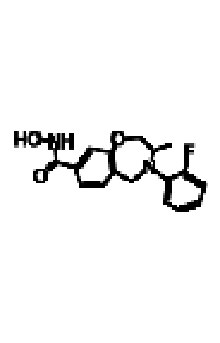 CC1COc2cc(C(=O)NO)ccc2CN1c1ccccc1F